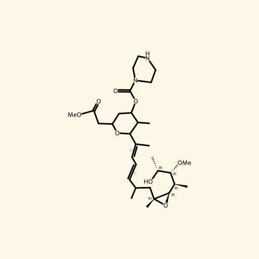 COC(=O)CC1CC(OC(=O)N2CCNCC2)C(C)C(/C(C)=C/C=C/C(C)C[C@@]2(C)O[C@@H]2[C@H](C)[C@@H](OC)[C@@H](C)O)O1